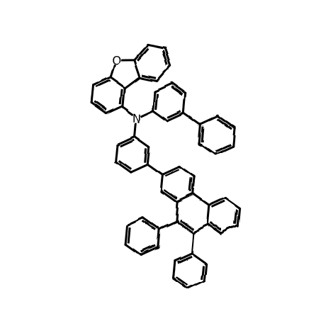 c1ccc(-c2cccc(N(c3cccc(-c4ccc5c(c4)c(-c4ccccc4)c(-c4ccccc4)c4ccccc45)c3)c3cccc4oc5ccccc5c34)c2)cc1